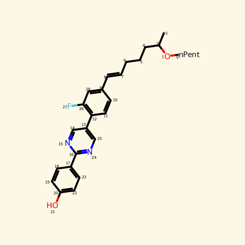 CCCCCOC(C)CCC/C=C/c1ccc(-c2cnc(-c3ccc(O)cc3)nc2)c(F)c1